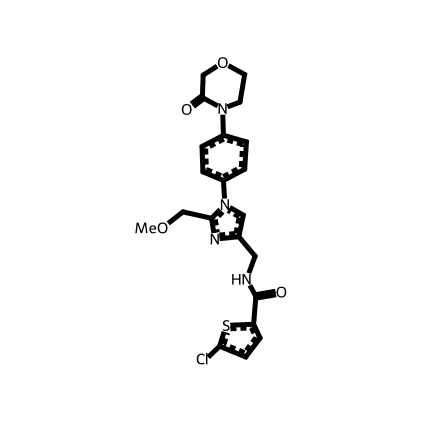 COCc1nc(CNC(=O)c2ccc(Cl)s2)cn1-c1ccc(N2CCOCC2=O)cc1